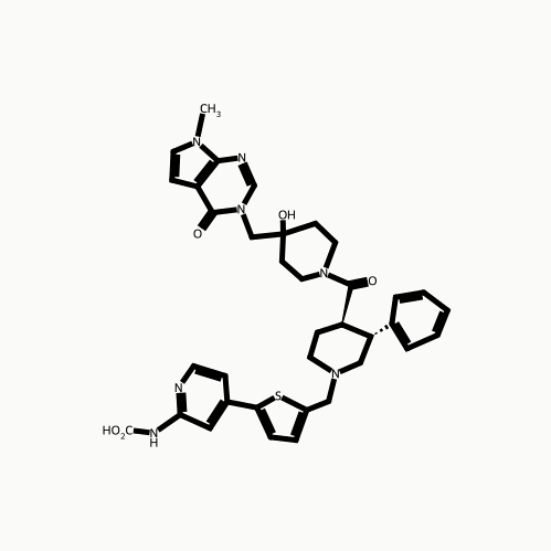 Cn1ccc2c(=O)n(CC3(O)CCN(C(=O)[C@@H]4CCN(Cc5ccc(-c6ccnc(NC(=O)O)c6)s5)C[C@H]4c4ccccc4)CC3)cnc21